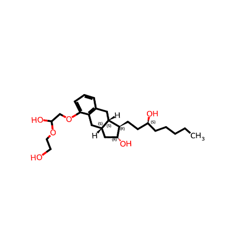 CCCCC[C@H](O)CC[C@@H]1[C@H]2Cc3cccc(OCC(O)OCCO)c3C[C@H]2C[C@H]1O